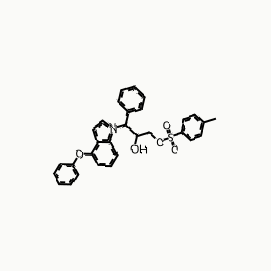 Cc1ccc(S(=O)(=O)OCC(O)C(c2ccccc2)n2ccc3c(Oc4ccccc4)cccc32)cc1